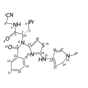 CC(C)C[C@@H](C(=O)NCC#N)N(C(=O)c1ccccc1)c1csc(NC2=CCN(C)C=C2)n1